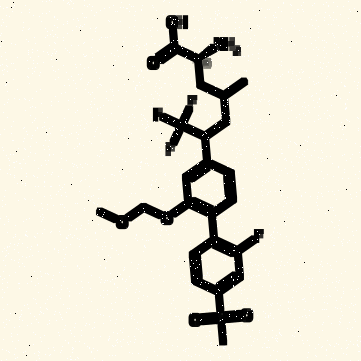 COCOc1cc(C(CC(C)C[C@H](N)C(=O)O)C(F)(F)F)ccc1-c1ccc(S(C)(=O)=O)cc1F